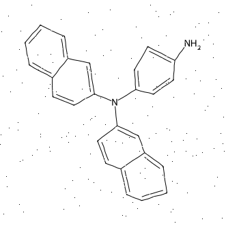 Nc1ccc(N(c2ccc3ccccc3c2)c2ccc3ccccc3c2)cc1